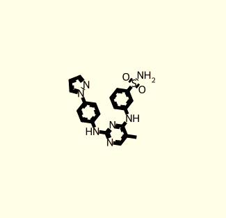 Cc1cnc(Nc2ccc(-n3cccn3)cc2)nc1Nc1cccc(S(N)(=O)=O)c1